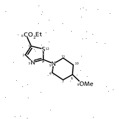 CCOC(=O)c1cnc(N2CCC(OC)CC2)s1